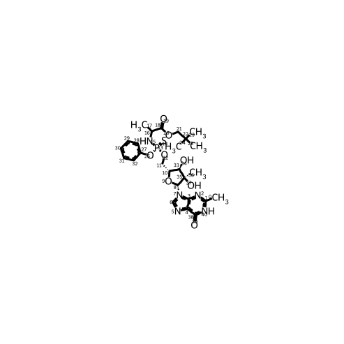 Cc1nc2c(ncn2[C@@H]2O[C@H](COP(=S)(NC(C)C(=O)OCC(C)(C)C)Oc3ccccc3)[C@@H](O)[C@@]2(C)O)c(=O)[nH]1